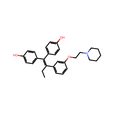 CCC(=C(c1ccc(O)cc1)c1ccc(O)cc1)c1cccc(OCCN2CCCCC2)c1